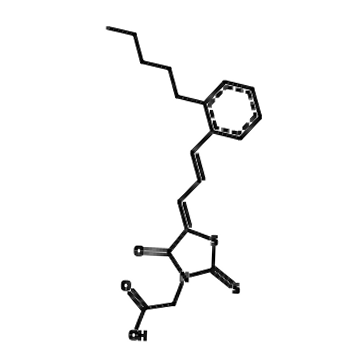 CCCCCc1ccccc1C=CC=C1SC(=S)N(CC(=O)O)C1=O